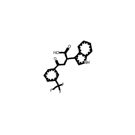 O=C(CC(C(=O)O)c1c[nH]c2ccccc12)c1cccc(C(F)(F)F)c1